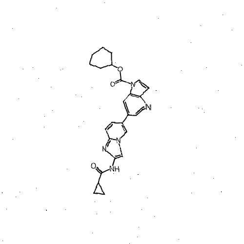 O=C(Nc1cn2cc(-c3cnc4ccn(C(=O)OC5CCCCC5)c4c3)ccc2n1)C1CC1